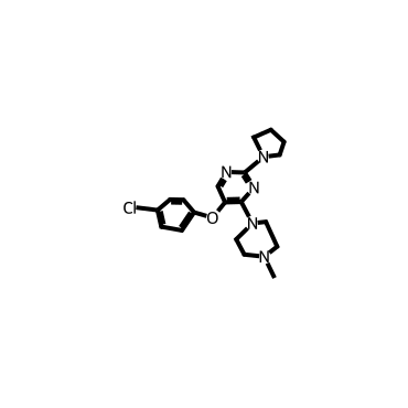 CN1CCN(c2nc(N3CCCC3)ncc2Oc2ccc(Cl)cc2)CC1